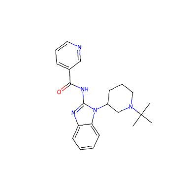 CC(C)(C)N1CCCC(n2c(NC(=O)c3cccnc3)nc3ccccc32)C1